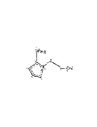 CCCCCc1cccn1CCO